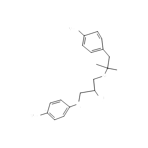 COc1ccc(CC(C)(C)NCC(O)COc2ccc(OC)cc2)cc1